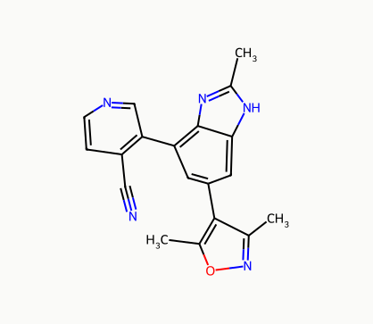 Cc1nc2c(-c3cnccc3C#N)cc(-c3c(C)noc3C)cc2[nH]1